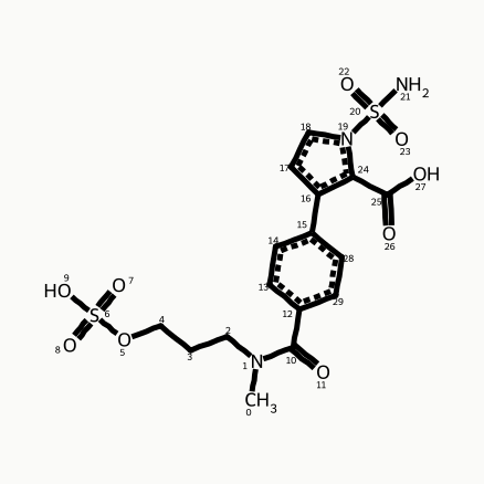 CN(CCCOS(=O)(=O)O)C(=O)c1ccc(-c2ccn(S(N)(=O)=O)c2C(=O)O)cc1